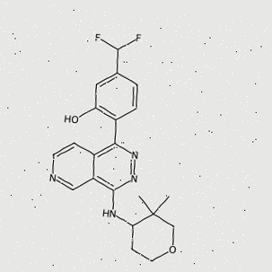 CC1(C)COCCC1Nc1nnc(-c2ccc(C(F)F)cc2O)c2ccncc12